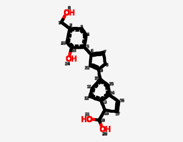 OCc1ccc(C2=CCC(c3ccc4c(c3)C=CC4C(O)O)=C2)c(O)c1